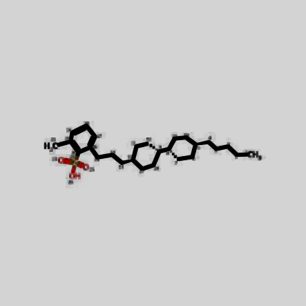 CCCCC[C@H]1CC[C@H]([C@H]2CC[C@H](CCCc3cccc(C)c3S(=O)(=O)O)CC2)CC1